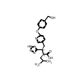 CC(C)C[C@H](C(=O)O)[C@H](Cc1ccc(Oc2ccc(CO)cc2)nc1)c1nn[nH]n1